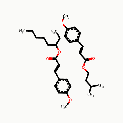 CCCCCC(CC)OC(=O)C=Cc1ccc(OC)cc1.COc1ccc(C=CC(=O)OCCC(C)C)cc1